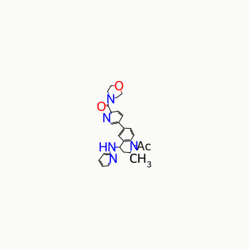 CC(=O)N1c2ccc(-c3ccc(C(=O)N4CCOCC4)nc3)cc2[C@H](Nc2ccccn2)C[C@@H]1C